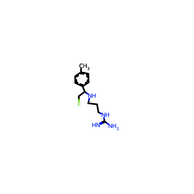 Cc1ccc(C(CF)NCCCNC(=N)N)cc1